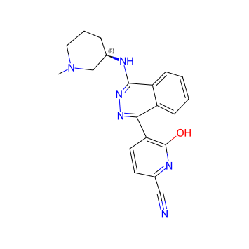 CN1CCC[C@@H](Nc2nnc(-c3ccc(C#N)nc3O)c3ccccc23)C1